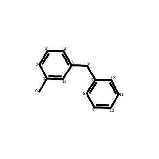 Cc1[c]ccc(Cc2cc[c]cc2)c1